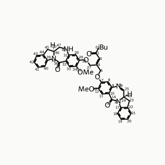 CCC(C)C(=O)/C=C(/COc1cc2c(cc1OC)C(=O)N1c3ccccc3C[C@H]1C=N2)COc1cc2c(cc1OC)C(=O)N1c3ccccc3C[C@H]1CN2